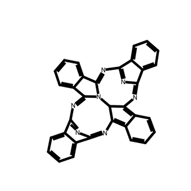 c1ccc2c(c1)C1=NC/2=N\C2=c3ccccc3=C3/N=C4N=C(/N=c5/c6ccccc6/c(n5C23)=N/1)c1ccccc1\4